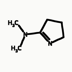 CN(C)C1=NCCC1